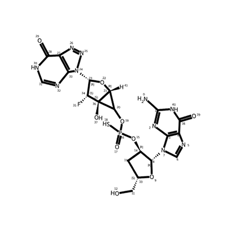 Nc1nc2c(ncn2[C@@H]2O[C@H](CO)C[C@H]2OP(=O)(S)OC2[C@H]3O[C@@H](n4nnc5c(=O)[nH]cnc54)[C@@H](F)[C@@]23O)c(=O)[nH]1